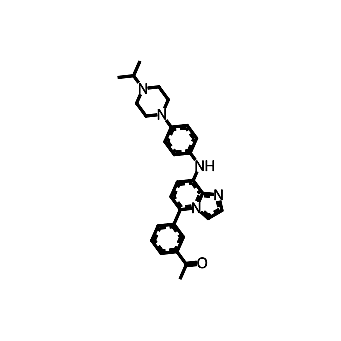 CC(=O)c1cccc(-c2ccc(Nc3ccc(N4CCN(C(C)C)CC4)cc3)c3nccn23)c1